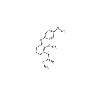 COC1=C(CC(=O)ON)CCCC1=Nc1ccc(OC)cc1